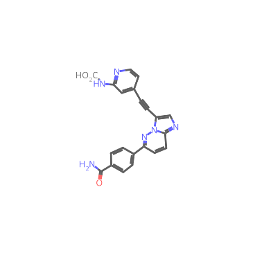 NC(=O)c1ccc(-c2ccc3ncc(C#Cc4ccnc(NC(=O)O)c4)n3n2)cc1